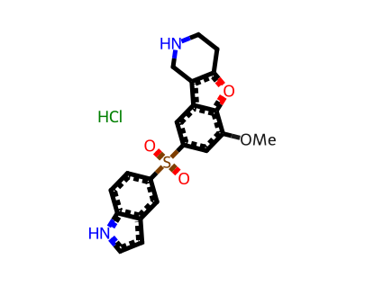 COc1cc(S(=O)(=O)c2ccc3[nH]ccc3c2)cc2c3c(oc12)CCNC3.Cl